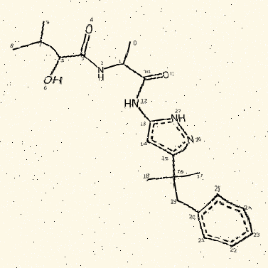 CC(NC(=O)C(O)C(C)C)C(=O)Nc1cc(C(C)(C)Cc2ccccc2)n[nH]1